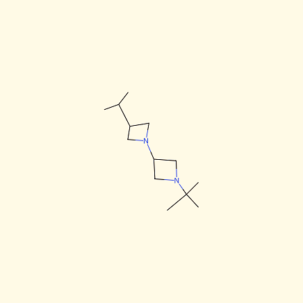 CC(C)C1CN(C2CN(C(C)(C)C)C2)C1